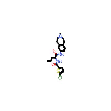 C=CCC(NC(=O)c1ccc(Cl)s1)C(=O)Nc1ccc2c(c1)CCN(C)CC2